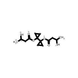 CC(S)CC(=O)OC1(C2(OC(=O)CC(C)S)CC2)CC1